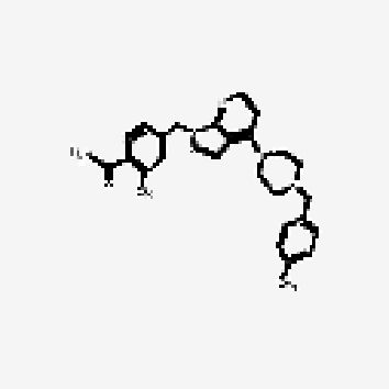 NC(=O)c1ccc(Cn2ccc3c(N4CCN(Cc5ccc(C(F)(F)F)cc5)CC4)ccnc32)cc1O